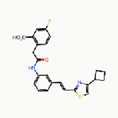 O=C(Cc1ccc(F)cc1C(=O)O)Nc1cccc(/C=C/c2nc(C3CCC3)cs2)c1